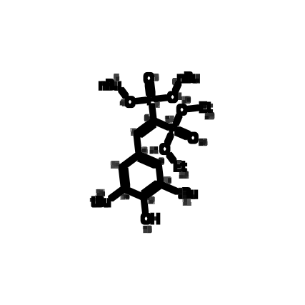 CCCCOP(=O)(OCCCC)C(=Cc1cc(C(C)(C)C)c(O)c(C(C)(C)C)c1)P(=O)(OCC)OCC